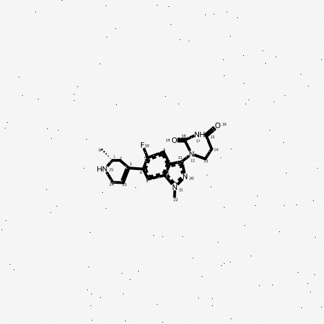 C[C@@H]1CC(c2cc3c(cc2F)c(N2CCC(=O)NC2=O)nn3C)=CCN1